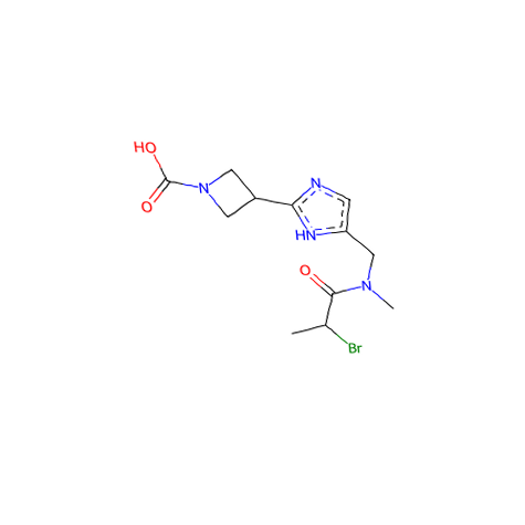 CC(Br)C(=O)N(C)Cc1cnc(C2CN(C(=O)O)C2)[nH]1